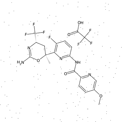 COc1ccc(C(=O)Nc2ccc(F)c([C@]3(C)C[C@@H](C(F)(F)F)N=C(N)O3)n2)nc1.O=C(O)C(F)(F)F